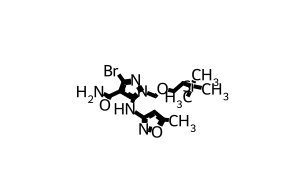 Cc1cc(Nc2c(C(N)=O)c(Br)nn2COCC[Si](C)(C)C)no1